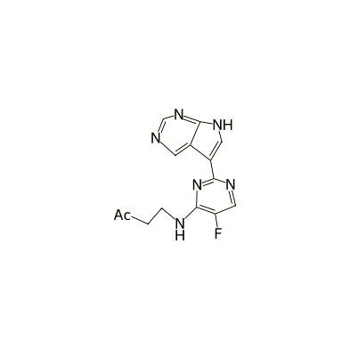 CC(=O)CCNc1nc(-c2c[nH]c3ncncc23)ncc1F